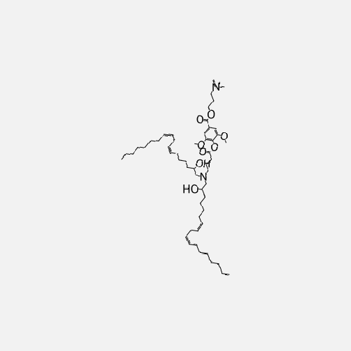 CCCCCCC/C=C\C/C=C\CCCCC(O)CN(CCCC(=O)Oc1c(OC)cc(C(=O)OCCCN(C)C)cc1OC)CC(O)CCCC/C=C\C/C=C\CCCCCCC